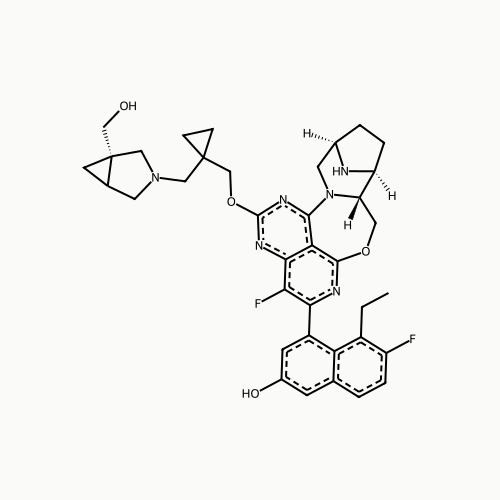 CCc1c(F)ccc2cc(O)cc(-c3nc4c5c(nc(OCC6(CN7CC8C[C@@]8(CO)C7)CC6)nc5c3F)N3C[C@H]5CC[C@H](N5)[C@@H]3CO4)c12